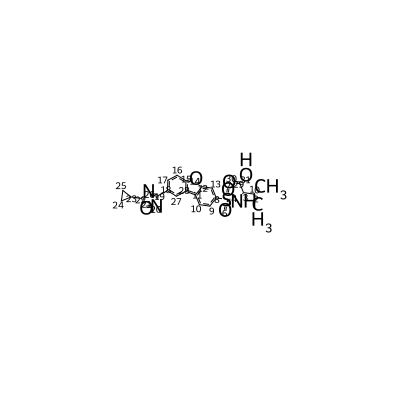 CC(C)C(NS(=O)(=O)c1ccc2c(c1)oc1ccc(-c3noc(C4CC4)n3)cc12)C(=O)O